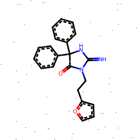 N=C1NC(c2ccccc2)(c2ccccc2)C(=O)N1CCc1ccco1